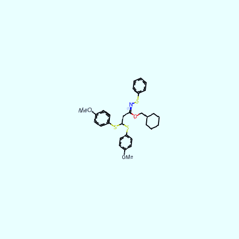 COc1ccc(SC(C/C(=N/Sc2ccccc2)OCC2CCCCC2)Sc2ccc(OC)cc2)cc1